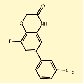 Cc1cccc(-c2cc(F)c3c(c2)NC(=O)CO3)c1